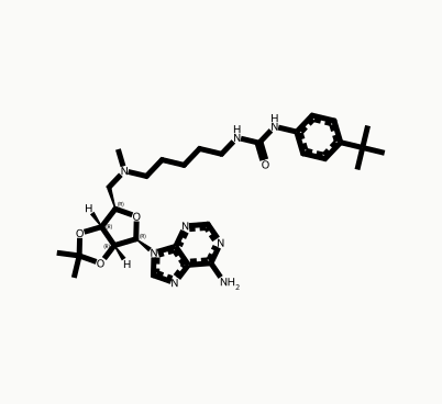 CN(CCCCCNC(=O)Nc1ccc(C(C)(C)C)cc1)C[C@H]1O[C@@H](n2cnc3c(N)ncnc32)[C@@H]2OC(C)(C)O[C@@H]21